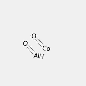 [O]=[AlH].[O]=[Co]